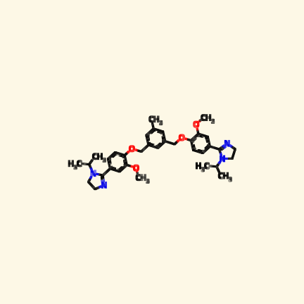 COc1cc(C2=NCCN2C(C)C)ccc1OCc1cc(C)cc(COc2ccc(C3=NCCN3C(C)C)cc2OC)c1